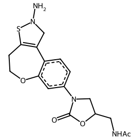 CC(=O)NCC1CN(c2ccc3c(c2)OCCC2=C3CN(N)S2)C(=O)O1